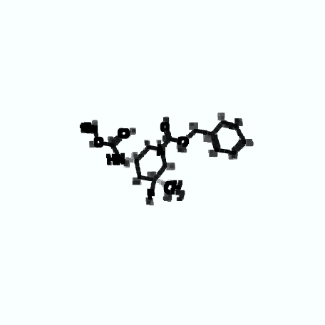 CC(C)(C)OC(=O)N[C@@H]1CN(C(=O)OCc2ccccc2)C[C@@](C)(F)C1